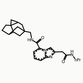 CCCNC(=O)Cc1cn2c(C(=O)NCC34CC5CCC6(CC6C3)C5C4)cccc2n1